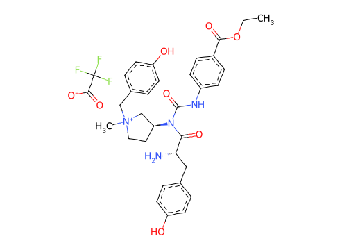 CCOC(=O)c1ccc(NC(=O)N(C(=O)[C@@H](N)Cc2ccc(O)cc2)[C@H]2CC[N+](C)(Cc3ccc(O)cc3)C2)cc1.O=C([O-])C(F)(F)F